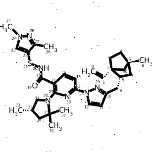 C=C[C@@]12CC[C@](C)(C[C@@H]1Cc1ccn(-c3ccc(C(=O)NSc4cn(C)nc4C)c(N4C[C@@H](C)CC4(C)C)n3)n1)C2